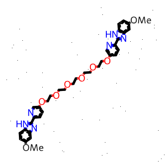 COc1ccc2[nH]c(-c3ccc(OCCOCCOCCOCCOCCOc4ccc(-c5nc6cc(OC)ccc6[nH]5)nc4)cn3)nc2c1